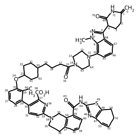 C=C1CCC(c2nn(C)c3c(N4CCN(C(=O)CCCC5CCC(Oc6cccc(-c7ccc(N8CCc9cccc(C(=O)Nc%10nc%11c(s%10)CCC=C%11)c9C8)nc7C(=O)O)c6C)CC5)CC4)cccc23)C(=O)N1